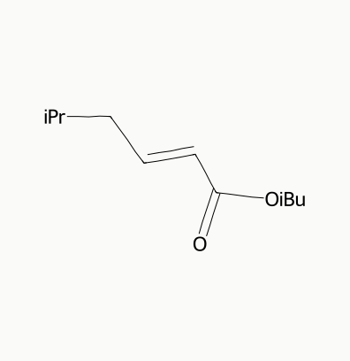 CC(C)CC=CC(=O)OCC(C)C